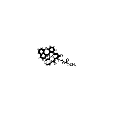 COC(=O)OCOc1c2n(ccc1=O)N(C1c3ccccc3Sc3cccc4cccc1c34)C1COCCN1C2=O